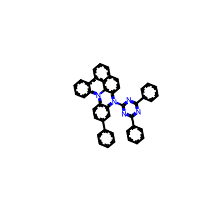 c1ccc(-c2ccc3c(c2)n(-c2nc(-c4ccccc4)nc(-c4ccccc4)n2)c2ccc4cccc5c6ccccc6n3-c2c45)cc1